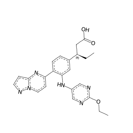 CCOc1ncc(Nc2cc([C@H](CC)CC(=O)O)ccc2-c2ccn3nccc3n2)cn1